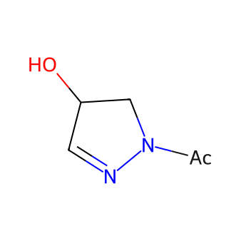 CC(=O)N1CC(O)C=N1